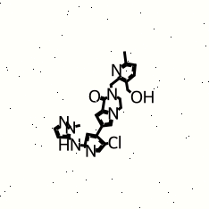 Cc1ccc(CO)c(CN2CCn3cc(-c4cc(Nc5ccnn5C)ncc4Cl)cc3C2=O)n1